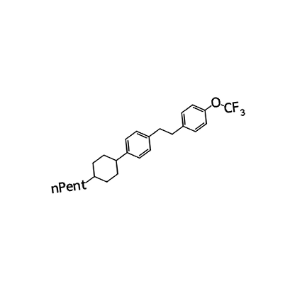 CCCCCC1CCC(c2ccc(CCc3ccc(OC(F)(F)F)cc3)cc2)CC1